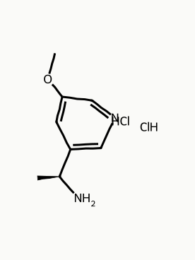 COc1cncc([C@H](C)N)c1.Cl.Cl